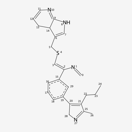 C=N/C(=C\SCC1=CNC2=NC=CCC12)c1cccc(C2=C(CCC)C(C)=NC2)c1